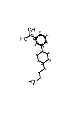 CCCCC1CCC(c2cccc(B(O)O)c2)CC1